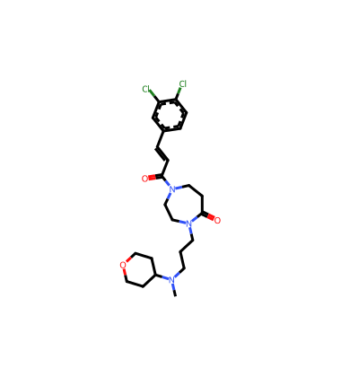 CN(CCCN1CCN(C(=O)/C=C/c2ccc(Cl)c(Cl)c2)CCC1=O)C1CCOCC1